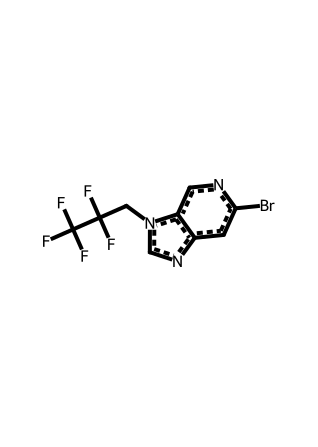 FC(F)(F)C(F)(F)Cn1cnc2cc(Br)ncc21